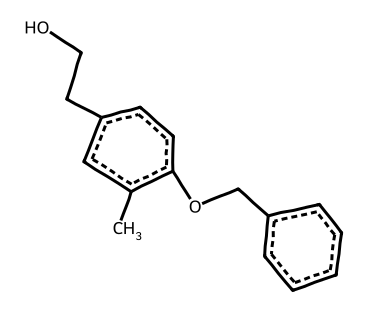 Cc1cc(CCO)ccc1OCc1ccccc1